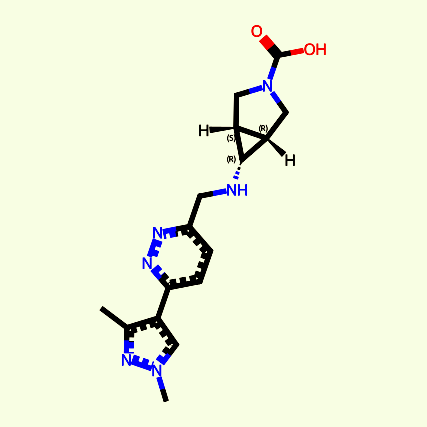 Cc1nn(C)cc1-c1ccc(CN[C@@H]2[C@@H]3CN(C(=O)O)C[C@@H]32)nn1